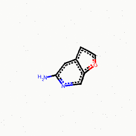 Nc1cc2c[c]oc2cn1